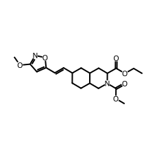 CCOC(=O)C1CC2CC(/C=C/c3cc(OC)no3)CCC2CN1C(=O)OC